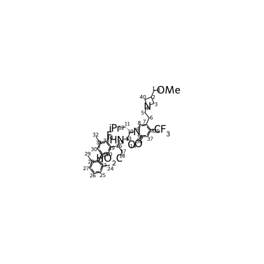 COCC1CN(CCc2cn([C@@H](CC(C)C)C(=O)N[C@@H](CC(=O)O)c3cc(-c4c(C)cccc4C)cc(C)c3F)c(=O)cc2C(F)(F)F)C1